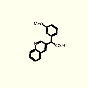 COc1cccc(C(C(=O)O)c2cnc3ccccc3c2)c1